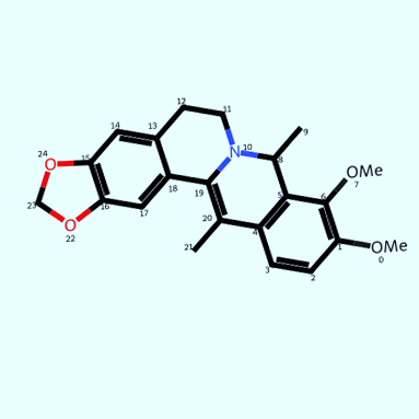 COc1ccc2c(c1OC)C(C)N1CCc3cc4c(cc3C1=C2C)OCO4